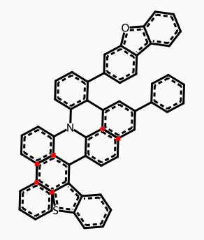 c1ccc(-c2cccc(-c3c(-c4ccc5c(c4)oc4ccccc45)cccc3N(c3cccc(-c4ccccc4)c3)c3ccccc3-c3cccc4sc5ccccc5c34)c2)cc1